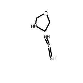 C1COCN1.N=C=N